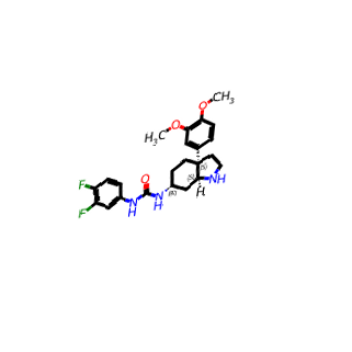 COc1ccc([C@]23CCN[C@H]2C[C@H](NC(=O)Nc2ccc(F)c(F)c2)CC3)cc1OC